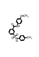 COc1ccc(NC(=O)c2cccc(S(=O)(=O)Nc3ccc(C)cc3)c2)cc1